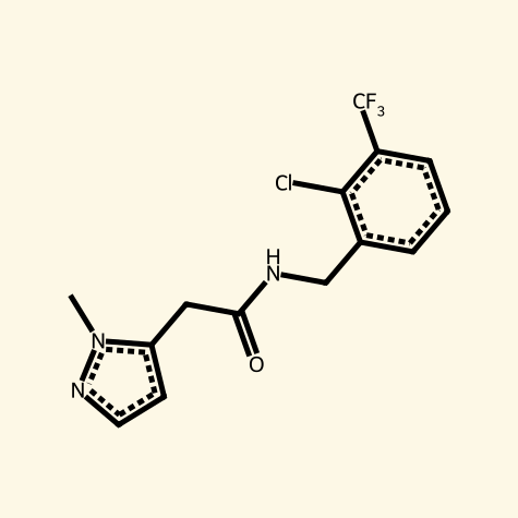 Cn1nccc1CC(=O)NCc1cccc(C(F)(F)F)c1Cl